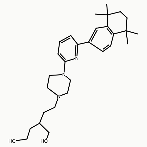 CC1(C)CCC(C)(C)c2cc(-c3cccc(N4CCN(CCC(CO)CCO)CC4)n3)ccc21